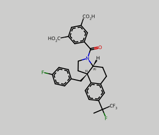 CC(F)(c1ccc2c(c1)CC[C@H]1N(C(=O)c3cc(C(=O)O)cc(C(=O)O)c3)CC[C@@]21Cc1ccc(F)cc1)C(F)(F)F